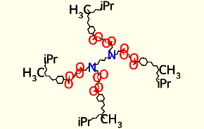 CC(C)CCCC(C)CCCC1CCC(C(=O)OCCOC(=O)CCN(CCCCCCN(CCC(=O)OCCOC(=O)C2CCC(CCCC(C)CCCC(C)C)CC2)CCC(=O)OCCOC(=O)C2CCC(CCCC(C)CCCC(C)C)CC2)CCC(=O)OCCOC(=O)C2CCC(CCCC(C)CCCC(C)C)CC2)CC1